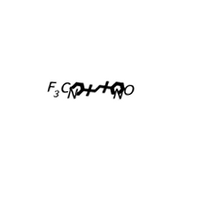 Cn1cc(C(C)(C)CCC(C)(C)c2ccc(C(F)(F)F)nc2)ccc1=O